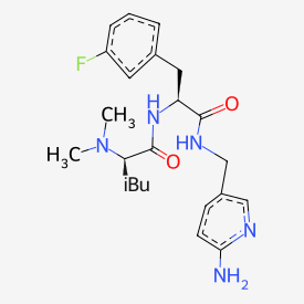 CCC(C)[C@H](C(=O)N[C@@H](Cc1cccc(F)c1)C(=O)NCc1ccc(N)nc1)N(C)C